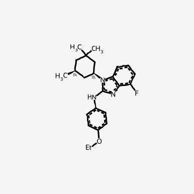 CCOc1ccc(Nc2nc3c(F)cccc3n2[C@H]2C[C@@H](C)CC(C)(C)C2)cc1